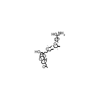 C=CCC(CCC12C[C@@H](O)C(O1)C1OC3CCC(CC(C)=O)O[C@@H]3C(O2)C1I)O[C@H](C)CC[C@H]1C[C@@H](C)C(=C)[C@@H](C[C@H]2CC[C@@H]([C@H](O)CN)O2)O1